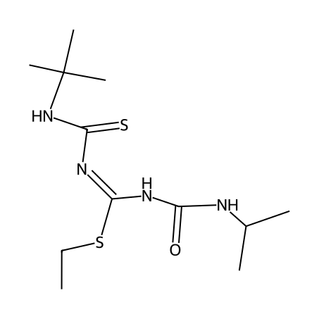 CCSC(=NC(=S)NC(C)(C)C)NC(=O)NC(C)C